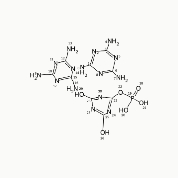 Nc1nc(N)nc(N)n1.Nc1nc(N)nc(N)n1.O=P(O)(O)Oc1nc(O)nc(O)n1